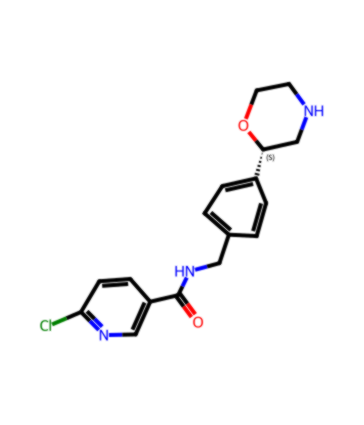 O=C(NCc1ccc([C@H]2CNCCO2)cc1)c1ccc(Cl)nc1